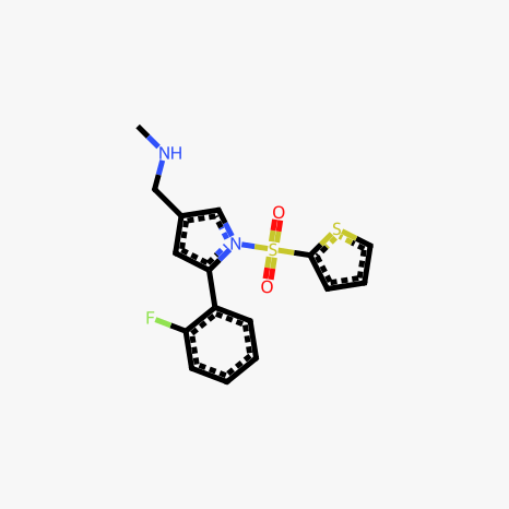 CNCc1cc(-c2ccccc2F)n(S(=O)(=O)c2cccs2)c1